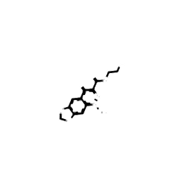 CCCCn1nc(C(=O)NCCS)c(=O)c2cc3c(cc21)OCO3